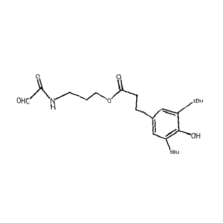 CC(C)(C)c1cc(CCC(=O)OCCCNC(=O)C=O)cc(C(C)(C)C)c1O